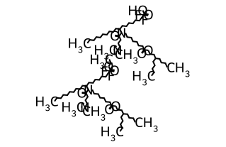 CCCCCCCCCCC(CCCCCCC(F)(F)C(=O)O)N(CCCCCCCC(=O)OCCC(CCCCC)CCCCC)C(=O)CCCN(C)C.CCCCCCCCCCC(CCCCCCC(F)(F)C(=O)OCC)N(CCCCCCCC(=O)OCCC(CCCCC)CCCCC)C(=O)CCCN(C)C